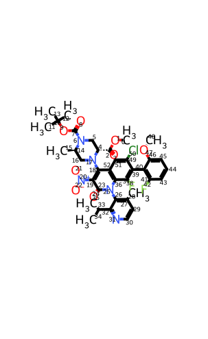 COC(=O)[C@H]1CN(C(=O)OC(C)(C)C)[C@H](C)CN1c1c([N+](=O)[O-])c(=O)n(-c2c(C)ccnc2C(C)C)c2c(F)c(-c3c(F)cccc3OC)c(Cl)cc12